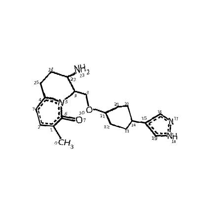 Cc1ccc2n(c1=O)C(COC1CCC(c3cn[nH]c3)CC1)C(N)CC2